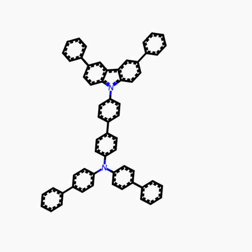 c1ccc(-c2ccc(N(c3ccc(-c4ccccc4)cc3)c3ccc(-c4ccc(-n5c6ccc(-c7ccccc7)cc6c6cc(-c7ccccc7)ccc65)cc4)cc3)cc2)cc1